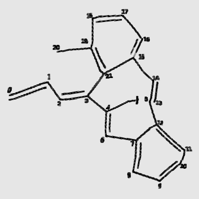 C=C/C=C1/C(I)=C/c2ccccc2/C=C/c2cccc(C)c21